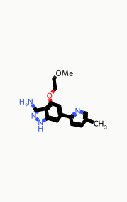 COCCOc1cc(-c2ccc(C)cn2)cc2[nH]nc(N)c12